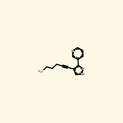 CCCCC#Cc1c[nH]nc1-c1cccnc1